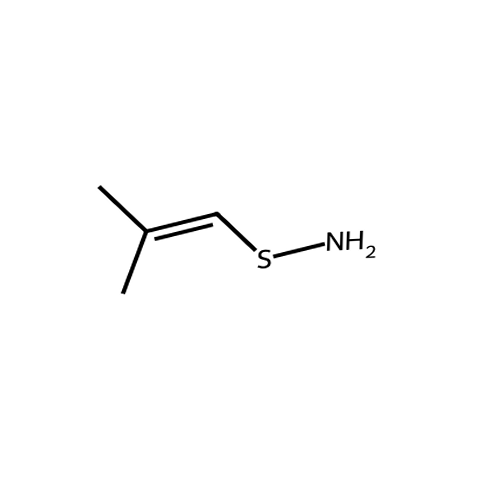 CC(C)=CSN